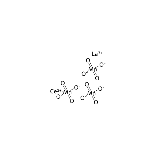 [Ce+3].[La+3].[O]=[Mn](=[O])([O-])[O-].[O]=[Mn](=[O])([O-])[O-].[O]=[Mn](=[O])([O-])[O-]